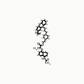 CC(=O)Nc1cccc2c(OC(C)C(=O)OCCN3CCN(CCCN4c5ccccc5Sc5ccc(C(F)(F)F)cc54)CC3)cccc12